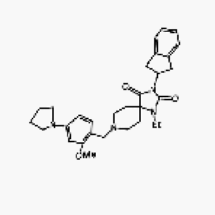 CCN1C(=O)N(C2Cc3ccccc3C2)C(=O)C12CCN(Cc1ccc(N3CCCC3)cc1OC)CC2